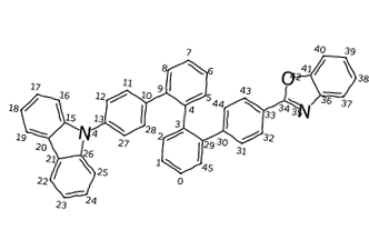 c1ccc(-c2ccccc2-c2ccc(-n3c4ccccc4c4ccccc43)cc2)c(-c2ccc(-c3nc4ccccc4o3)cc2)c1